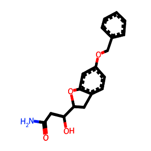 NC(=O)CC(O)C1Cc2ccc(OCc3ccccc3)cc2O1